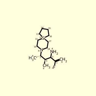 C=C(F)C(N)[C@@H](C)[C@H](C)N1CC[Si]2(CCCC2)CC1